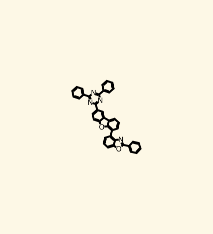 c1ccc(-c2nc(-c3ccccc3)nc(-c3ccc4oc5c(-c6cccc7oc(-c8ccccc8)nc67)cccc5c4c3)n2)cc1